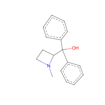 CN1CCC1C(O)(c1ccccc1)c1ccccc1